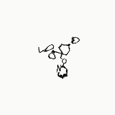 CCOC(=O)C1(COc2ccccn2)CCC(=O)CC1